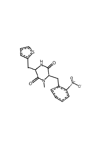 CN1C(=O)C(Cc2cccs2)NC(=O)C1Cc1ccccc1[N+](=O)[O-]